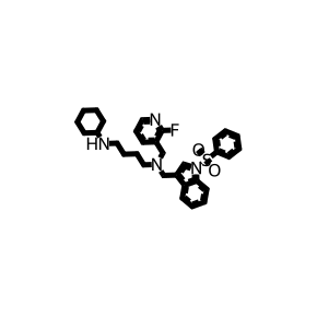 O=S(=O)(c1ccccc1)n1cc(CN(CCCCNC2CCCCC2)Cc2cccnc2F)c2ccccc21